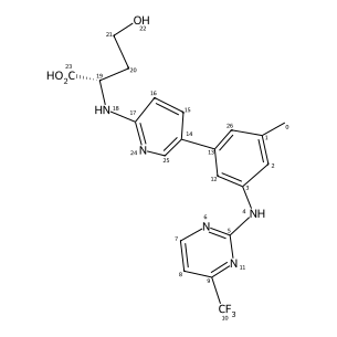 Cc1cc(Nc2nccc(C(F)(F)F)n2)cc(-c2ccc(N[C@@H](CCO)C(=O)O)nc2)c1